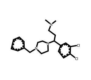 CN(C)CCC(c1ccc(Cl)c(Cl)c1)N1CCN(Cc2ccccc2)CC1